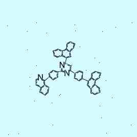 c1ccc2c(-c3ccc(-c4nc(-c5ccc(-c6cc7ccccc7c7ccccc67)cc5)cc(-c5cc6ccccc6c6ccccc56)n4)cc3)nccc2c1